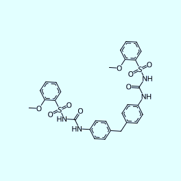 COc1ccccc1S(=O)(=O)NC(=O)Nc1ccc(Cc2ccc(NC(=O)NS(=O)(=O)c3ccccc3OC)cc2)cc1